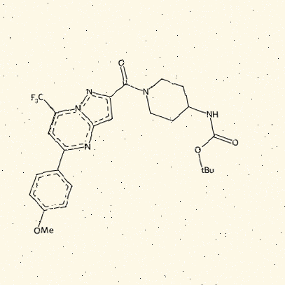 COc1ccc(-c2cc(C(F)(F)F)n3nc(C(=O)N4CCC(NC(=O)OC(C)(C)C)CC4)cc3n2)cc1